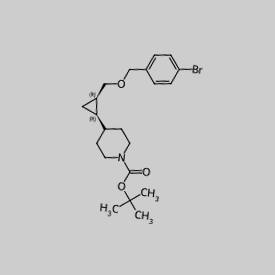 CC(C)(C)OC(=O)N1CCC([C@H]2C[C@H]2COCc2ccc(Br)cc2)CC1